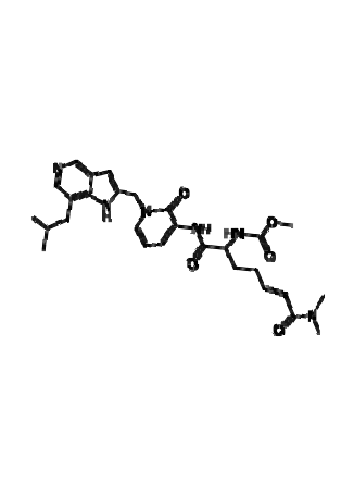 COC(=O)NC(CC/C=C/C(=O)N(C)C)C(=O)Nc1cccn(Cc2cc3cncc(CC(C)C)c3[nH]2)c1=O